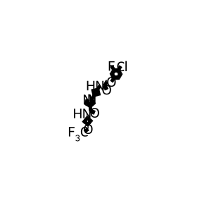 O=C(COc1ccc(Cl)c(F)c1)NC12CC(n3cc(C(=O)N[C@H]4C[C@@H](OC(F)(F)F)C4)cn3)(C1)C2